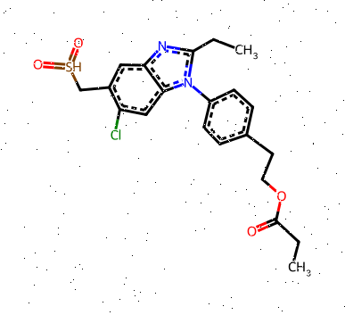 CCC(=O)OCCc1ccc(-n2c(CC)nc3cc(C[SH](=O)=O)c(Cl)cc32)cc1